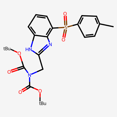 Cc1ccc(S(=O)(=O)c2cccc3[nH]c(CN(C(=O)OC(C)(C)C)C(=O)OC(C)(C)C)nc23)cc1